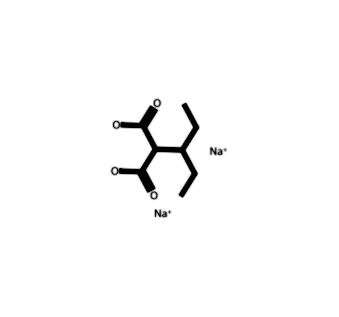 CCC(CC)C(C(=O)[O-])C(=O)[O-].[Na+].[Na+]